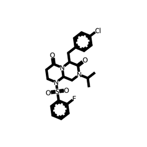 CC(C)N1CC2N(C(=O)CCN2S(=O)(=O)c2ccccc2F)C(Cc2ccc(Cl)cc2)C1=O